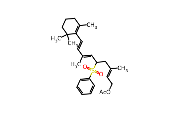 CC(=O)OCC=C(C)CC(C=C(C)C=CC1=C(C)CCCC1(C)C)S(=O)(=O)c1ccccc1